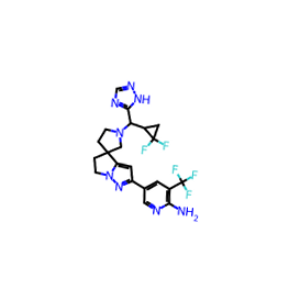 Nc1ncc(-c2cc3n(n2)CCC32CCN(C(c3ncn[nH]3)C3CC3(F)F)C2)cc1C(F)(F)F